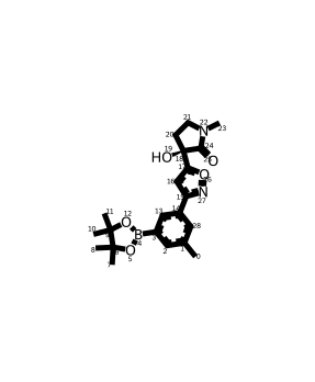 Cc1cc(B2OC(C)(C)C(C)(C)O2)cc(-c2cc([C@]3(O)CCN(C)C3=O)on2)c1